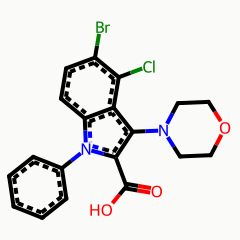 O=C(O)c1c(N2CCOCC2)c2c(Cl)c(Br)ccc2n1-c1ccccc1